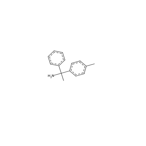 Cc1ccc(C(C)(N)c2ccccc2)cc1